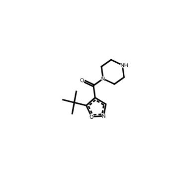 CC(C)(C)c1oncc1C(=O)N1CCNCC1